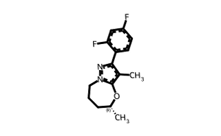 Cc1c(-c2ccc(F)cc2F)nn2c1O[C@H](C)CCC2